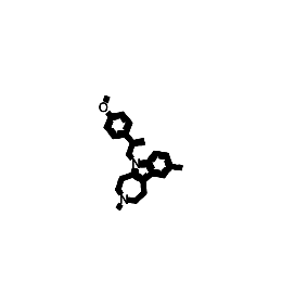 C=C(Cn1c2c(c3cc(C)ccc31)CCN(C)CC2)c1ccc(OC)cc1